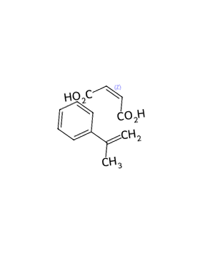 C=C(C)c1ccccc1.O=C(O)/C=C\C(=O)O